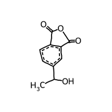 CC(O)c1ccc2c(c1)C(=O)OC2=O